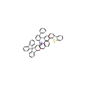 c1ccc(-c2ccccc2-c2c(-c3ccccc3)cccc2N(c2cccc(-c3cccc4c3sc3ccccc34)c2)c2ccc3c(c2)C2(c4ccccc4-c4ccccc42)c2ccccc2-3)cc1